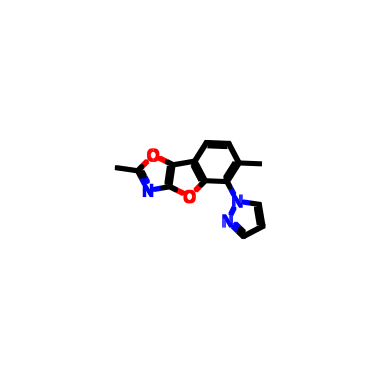 Cc1nc2oc3c(-n4cccn4)c(C)ccc3c2o1